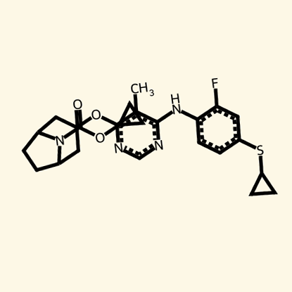 Cc1c(Nc2ccc(SC3CC3)cc2F)ncnc1OC1CC2CCC(C1)N2C(=O)OC1CC1